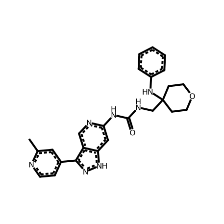 Cc1cc(-c2n[nH]c3cc(NC(=O)NCC4(Nc5ccccc5)CCOCC4)ncc23)ccn1